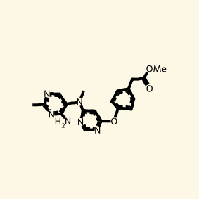 COC(=O)Cc1ccc(Oc2cc(N(C)c3cnc(C)nc3N)ncn2)cc1